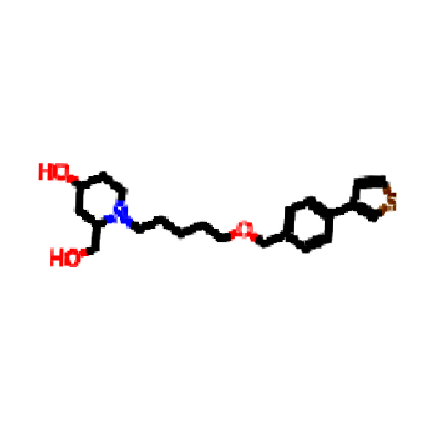 OCC1CC(O)CCN1CCCCCOCc1ccc(-c2ccsc2)cc1